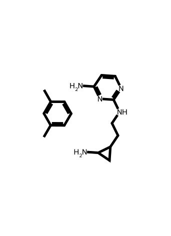 Cc1cccc(C)c1.Nc1ccnc(NCCC2CC2N)n1